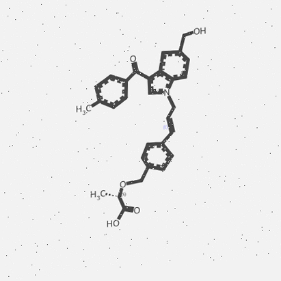 Cc1ccc(C(=O)c2cn(C/C=C/c3ccc(CO[C@@H](C)C(=O)O)cc3)c3ccc(CO)cc23)cc1